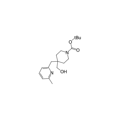 Cc1cccc(CC2(CO)CCN(C(=O)OC(C)(C)C)CC2)n1